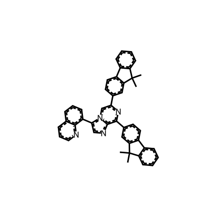 CC1(C)c2ccccc2-c2ccc(-c3cn4c(-c5cccc6cccnc56)cnc4c(-c4ccc5c(c4)C(C)(C)c4ccccc4-5)n3)cc21